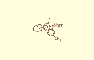 CCCOc1cc(C(F)(F)F)ccc1OC1CC2CCC(C1)N2c1ccc(C(F)(F)F)c(F)c1